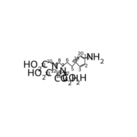 Nc1ccc(CCC(CN(CC(=O)O)CC(=O)O)N(CC(=O)O)CC(=O)O)cc1